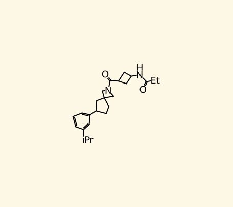 CCC(=O)NC1CC(C(=O)N2CC3(CCC(c4cccc(C(C)C)c4)C3)C2)C1